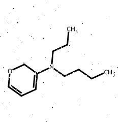 CCCCN(CCC)C1=CC=CO[C]1